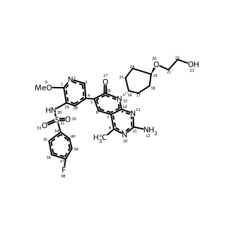 COc1ncc(-c2cc3c(C)nc(N)nc3n([C@H]3CC[C@H](OCCO)CC3)c2=O)cc1NS(=O)(=O)c1ccc(F)cc1